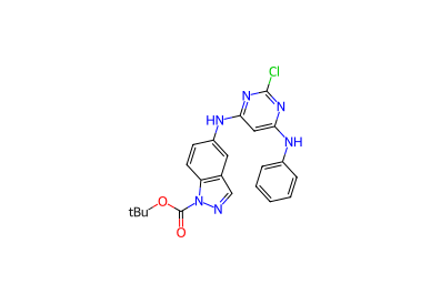 CC(C)(C)OC(=O)n1ncc2cc(Nc3cc(Nc4ccccc4)nc(Cl)n3)ccc21